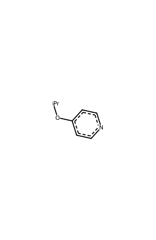 [CH2]C(C)Oc1ccncc1